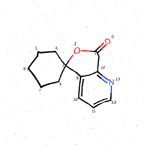 O=C1OC2(CC[CH]CC2)c2cccnc21